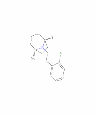 Fc1ccccc1CCN1[C@@H]2CCC[C@H]1CC2